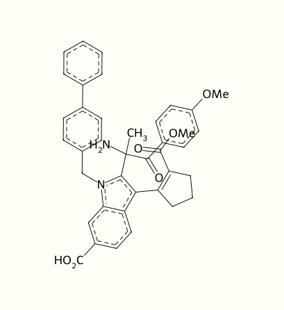 COC(=O)C1=C(c2c(C(C)(N)C(=O)c3ccc(OC)cc3)n(Cc3ccc(-c4ccccc4)cc3)c3cc(C(=O)O)ccc23)CCC1